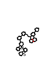 C1=CCCC(c2ccc(C(CCc3cccc(-c4cccc(C5=CC6c7ccccc7N(c7cccc8c7C7C=CC=CC7S8)C6CC5)c4)c3)c3ccccc3)c(-c3ccccc3)c2)=C1